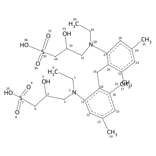 CCN(CC(O)CS(=O)(=O)O)c1cc(C)cc(C)c1Cc1c(C)cc(C)cc1N(CC)CC(O)CS(=O)(=O)O